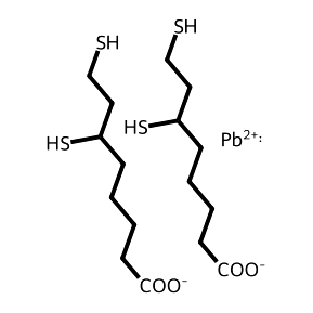 O=C([O-])CCCCC(S)CCS.O=C([O-])CCCCC(S)CCS.[Pb+2]